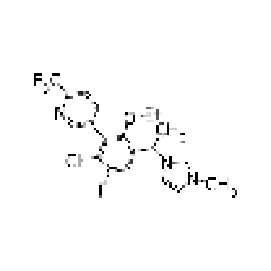 CCOc1c(C(C)N2C=CN(C)C2)cc(F)c(Cl)c1-c1ccc(C(F)(F)F)nc1